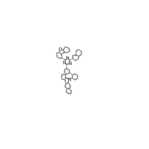 c1cc(-c2nc(-c3ccc4ccccc4c3)nc(-c3cccc4oc5ccccc5c34)n2)cc(-c2ccccc2-n2c3ccccc3c3cc4ccccc4cc32)c1